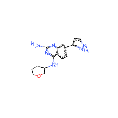 Nc1nc(NC2CCCOC2)c2ccc(-c3ccn[nH]3)cc2n1